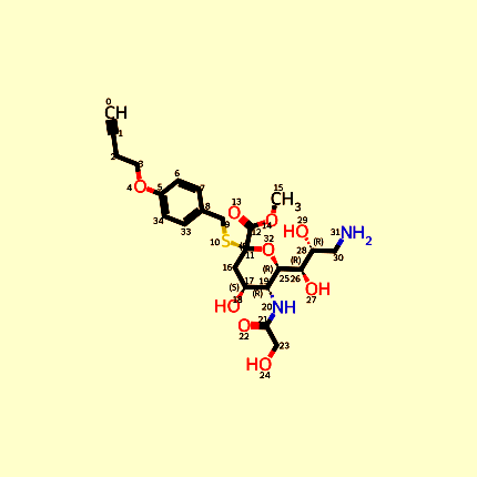 C#CCCOc1ccc(CS[C@]2(C(=O)OC)C[C@H](O)[C@@H](NC(=O)CO)[C@H]([C@H](O)[C@H](O)CN)O2)cc1